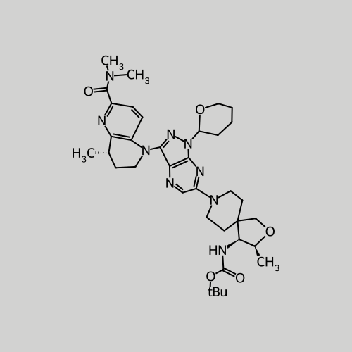 C[C@@H]1OCC2(CCN(c3cnc4c(N5CC[C@H](C)c6nc(C(=O)N(C)C)ccc65)nn(C5CCCCO5)c4n3)CC2)[C@@H]1NC(=O)OC(C)(C)C